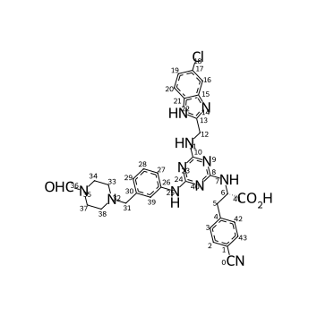 N#Cc1ccc(C[C@H](Nc2nc(NCc3nc4cc(Cl)ccc4[nH]3)nc(Nc3cccc(CN4CCN(C=O)CC4)c3)n2)C(=O)O)cc1